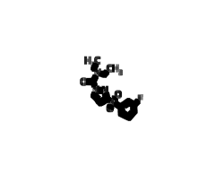 CCN(CC)C(=O)n1ccc(S(=O)(=O)c2cccc(F)c2)n1